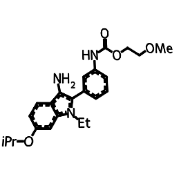 CCn1c(-c2cccc(NC(=O)OCCOC)c2)c(N)c2ccc(OC(C)C)cc21